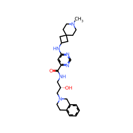 CN1CCC2(CC1)CC(Nc1cc(C(=O)NC[C@H](O)CN3CCc4ccccc4C3)ncn1)C2